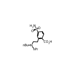 CCCCN(CCC)CCc1cc(S(N)(=O)=O)ccc1C(=O)O